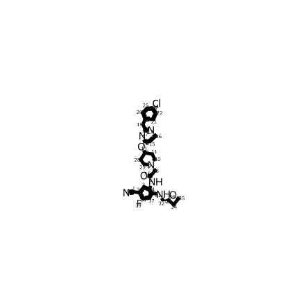 N#Cc1cc(NC(=O)CN2CCC(Oc3ccnc(Cc4ccc(Cl)cc4)n3)CC2)c(NC[C@@H]2CCO2)cc1F